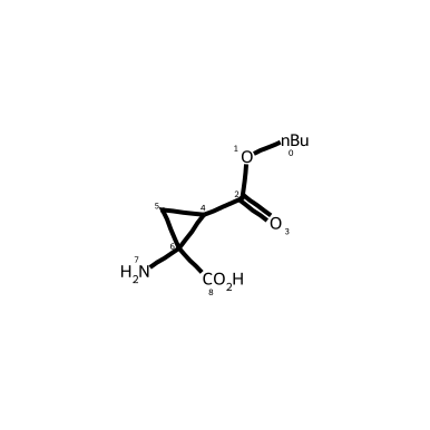 CCCCOC(=O)C1CC1(N)C(=O)O